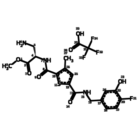 COC(=O)[C@H](CN)NC(=O)c1sc(C(=O)NCc2ccc(F)c(O)c2)cc1C.O=C(O)C(F)(F)F